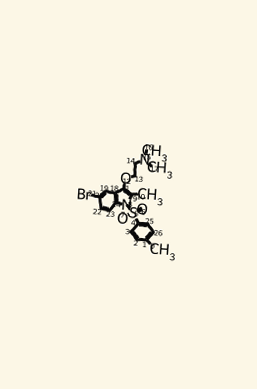 Cc1ccc(S(=O)(=O)n2c(C)c(OCCN(C)C)c3cc(Br)ccc32)cc1